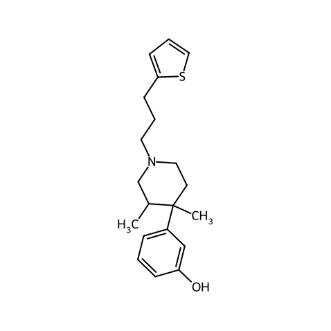 CC1CN(CCCc2cccs2)CCC1(C)c1cccc(O)c1